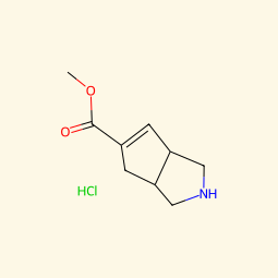 COC(=O)C1=CC2CNCC2C1.Cl